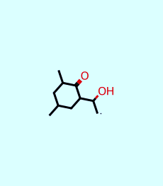 [CH2]C(O)C1CC(C)CC(C)C1=O